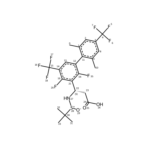 Cc1cc(C(F)(F)F)cc(C)c1-c1cc(C(F)(F)F)c(F)c([C@H](CC(=O)O)N[S+]([O-])C(C)(C)C)c1F